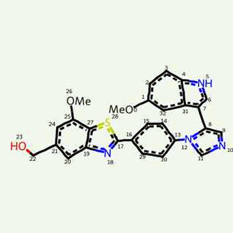 COc1ccc2[nH]cc(-c3cncn3-c3ccc(-c4nc5cc(CO)cc(OC)c5s4)cc3)c2c1